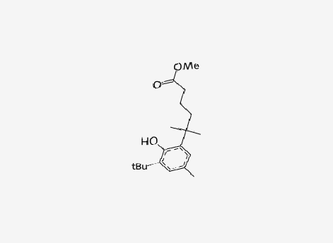 COC(=O)CCCC(C)(C)c1cc(C)cc(C(C)(C)C)c1O